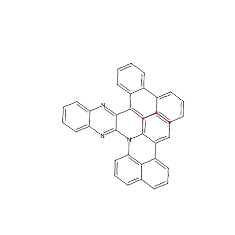 c1ccc2c(c1)-c1cccc3cccc(c13)N2c1nc2ccccc2nc1-c1cc2ccccc2c2ccccc12